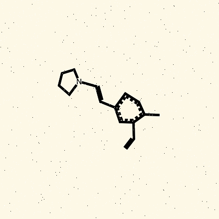 C=Cc1cc(/C=C/N2CCCC2)ccc1C